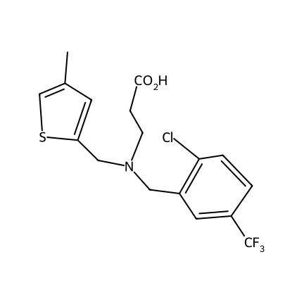 Cc1csc(CN(CCC(=O)O)Cc2cc(C(F)(F)F)ccc2Cl)c1